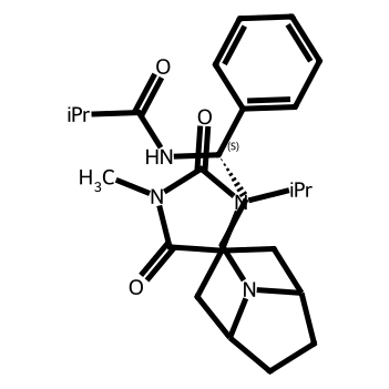 CC(C)C(=O)N[C@@H](CCN1C2CCC1CC1(C2)C(=O)N(C)C(=O)N1C(C)C)c1ccccc1